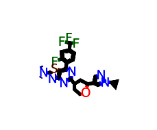 CN(C)c1nc2nc(C3CCOC(c4cnn(C5CC5)c4)C3)nc(-c3ccc(C(F)(F)F)cc3F)c2s1